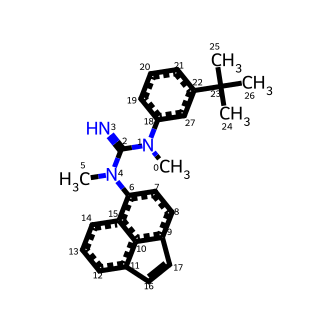 CN(C(=N)N(C)c1ccc2c3c(cccc13)C=C2)c1cccc(C(C)(C)C)c1